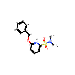 CCCN(C)S(=O)(=O)c1cccc(OCc2ccccc2)n1